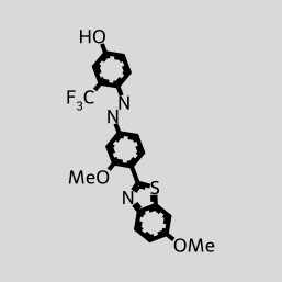 COc1ccc2nc(-c3ccc(N=Nc4ccc(O)cc4C(F)(F)F)cc3OC)sc2c1